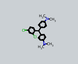 CN(C)c1ccc(C(c2ccc(N(C)C)cc2)c2ccc(Cl)cc2Cl)cc1